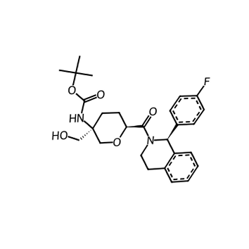 CC(C)(C)OC(=O)N[C@@]1(CO)CC[C@@H](C(=O)N2CCc3ccccc3[C@@H]2c2ccc(F)cc2)OC1